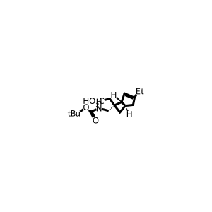 CCC1=C[C@@H]2[C@@H](C1)C[C@@]2(CNC(=O)OC(C)(C)C)CC(=O)O